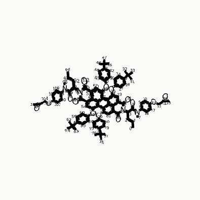 CCCC(C(=O)N(C)c1ccc(OCC2CO2)cc1)N1C(=O)c2cc(Oc3ccc(C(C)(C)C)cc3)c3c4c(Oc5ccc(C(C)(C)C)cc5)cc5c6c(cc(Oc7ccc(C(C)(C)C)cc7)c(c7c(Oc8ccc(C(C)(C)C)cc8)cc(c2c37)C1=O)c64)C(=O)N(C(CCC)C(=O)N(C)c1ccc(OCC2CO2)cc1)C5=O